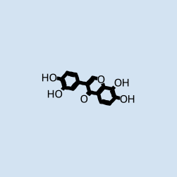 O=c1c(-c2ccc(O)c(O)c2)coc2c(O)c(O)ccc12